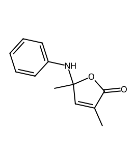 CC1=CC(C)(Nc2ccccc2)OC1=O